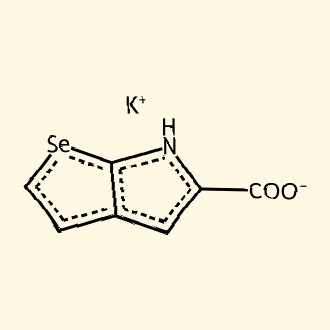 O=C([O-])c1cc2cc[se]c2[nH]1.[K+]